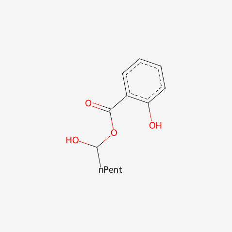 CCCCCC(O)OC(=O)c1ccccc1O